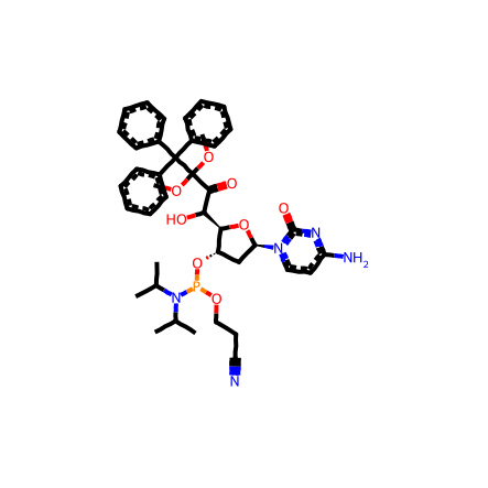 COC(OC)(C(=O)C(O)[C@H]1O[C@@H](n2ccc(N)nc2=O)C[C@@H]1OP(OCCC#N)N(C(C)C)C(C)C)C(c1ccccc1)(c1ccccc1)c1ccccc1